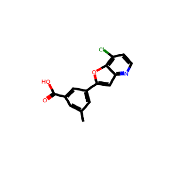 Cc1cc(C(=O)O)cc(-c2cc3nccc(Cl)c3o2)c1